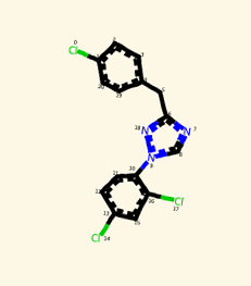 Clc1ccc(Cc2ncn(-c3ccc(Cl)cc3Cl)n2)cc1